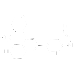 CC(C)c1c[nH]c2ncc(-c3cc4c(c(C5COCCN5C(=O)O)c3)CNCC4)cc12